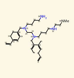 C=CC/C=C(C)\C(=C/C)CN(CCCCNCCNC)CCN(CCCCN)CC1=CC=C(C=C)CC1